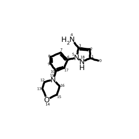 CC1C=C(N)N(c2cccc(N3CCOCC3)c2)N1